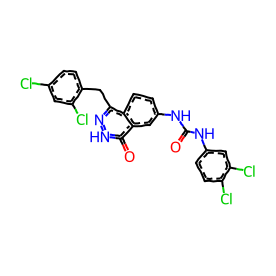 O=C(Nc1ccc(Cl)c(Cl)c1)Nc1ccc2c(Cc3ccc(Cl)cc3Cl)n[nH]c(=O)c2c1